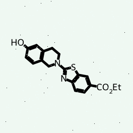 CCOC(=O)c1ccc2nc(N3CCc4cc(O)ccc4C3)sc2c1